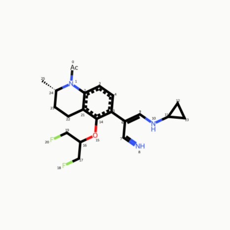 CC(=O)N1c2ccc(/C(C=N)=C/NC3CC3)c(OC(CF)CF)c2CC[C@@H]1C